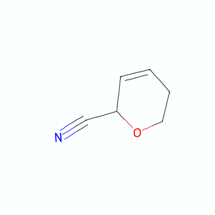 N#CC1C=CCCO1